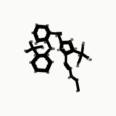 CCOC=Cc1sc(Nc2cccnc2Oc2ccccc2C(C)(C)C)nc1C(F)(F)F